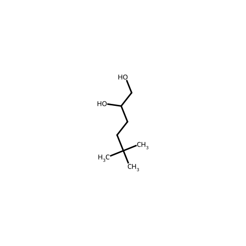 CC(C)(C)CCC(O)CO